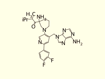 CC(C)C(C)C(=O)C1(N)CCCN(c2cnc(-c3ccc(F)c(F)c3)cc2Cn2cnc3c(N)ncnc32)C1